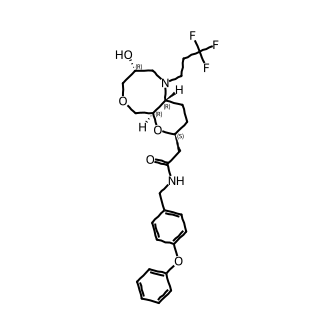 O=C(C[C@@H]1CC[C@@H]2[C@H](COC[C@H](O)CN2CCC(F)(F)F)O1)NCc1ccc(Oc2ccccc2)cc1